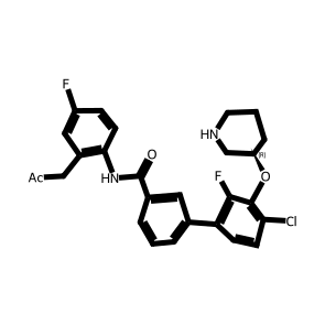 CC(=O)Cc1cc(F)ccc1NC(=O)c1cccc(-c2ccc(Cl)c(O[C@@H]3CCCNC3)c2F)c1